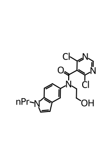 CCCn1ccc2cc(N(CCO)C(=O)c3c(Cl)ncnc3Cl)ccc21